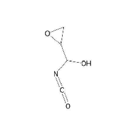 O=C=NC(O)C1CO1